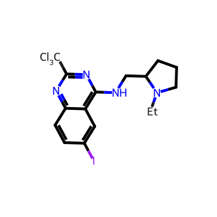 CCN1CCCC1CNc1nc(C(Cl)(Cl)Cl)nc2ccc(I)cc12